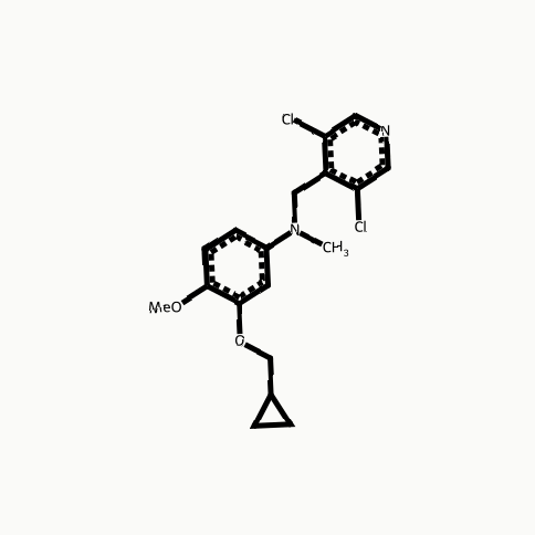 COc1ccc(N(C)Cc2c(Cl)cncc2Cl)cc1OCC1CC1